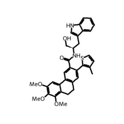 COc1cc2c(c(OC)c1OC)CCc1cc(-c3sccc3C)c(C(=O)N[C@@H](CO)Cc3c[nH]c4ccccc34)cc1-2